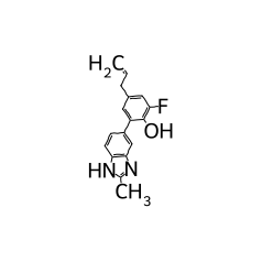 C=CCc1cc(F)c(O)c(-c2ccc3[nH]c(C)nc3c2)c1